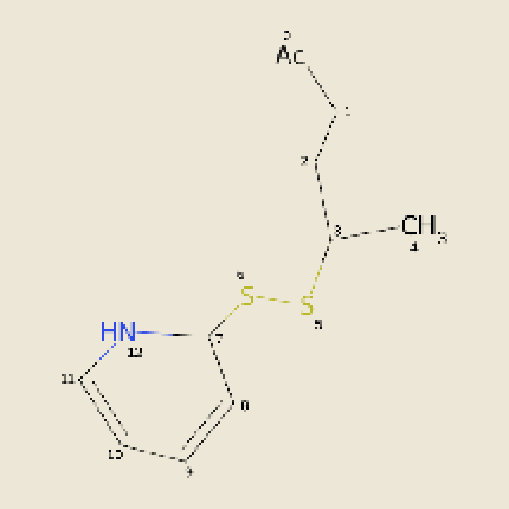 CC(=O)CCC(C)SSC1C=CC=CN1